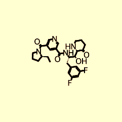 CC[C@H]1CCCN1C(=O)c1cncc(C(=O)N[C@@H](Cc2cc(F)cc(F)c2)[C@H](O)[C@@H]2NCCCC2=O)c1